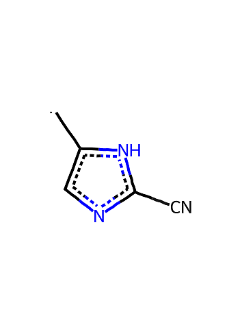 [CH2]c1cnc(C#N)[nH]1